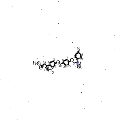 CO/N=C(\COc1ccc(COc2ccc(C(N)CC(=O)O)cc2)cc1)c1ccc(C)cc1